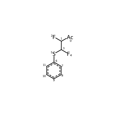 CC(=O)C(F)C(F)Sc1ccccc1